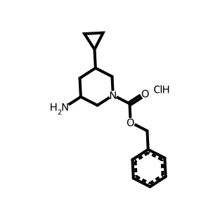 Cl.NC1CC(C2CC2)CN(C(=O)OCc2ccccc2)C1